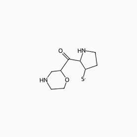 O=C(C1CNCCO1)C1NCCC1[S]